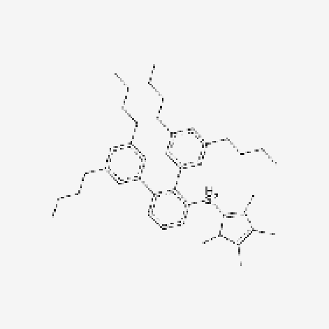 CCCCc1cc(CCCC)cc(-c2cccc([SiH2]C3=C(C)C(C)=C(C)C3C)c2-c2cc(CCCC)cc(CCCC)c2)c1